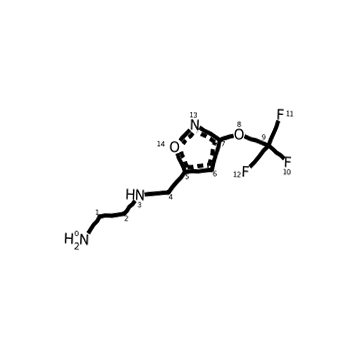 NCCNCc1cc(OC(F)(F)F)no1